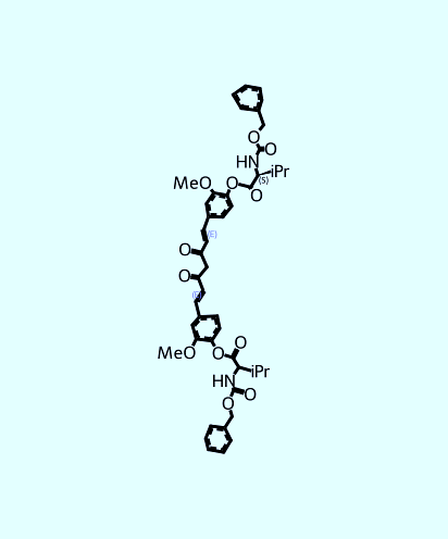 COc1cc(/C=C/C(=O)CC(=O)/C=C/c2ccc(OC(=O)[C@@H](NC(=O)OCc3ccccc3)C(C)C)c(OC)c2)ccc1OC(=O)C(NC(=O)OCc1ccccc1)C(C)C